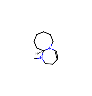 CN1CCC=CN2CCCCCC[C@H]12